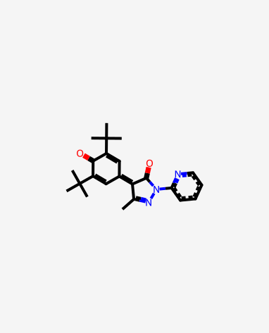 CC1=NN(c2ccccn2)C(=O)C1=C1C=C(C(C)(C)C)C(=O)C(C(C)(C)C)=C1